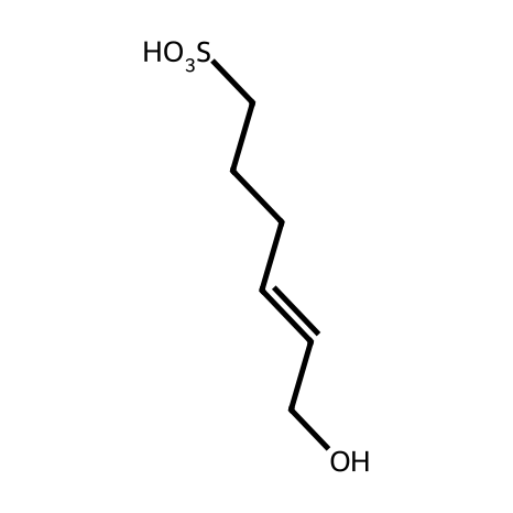 O=S(=O)(O)CCCC=CCO